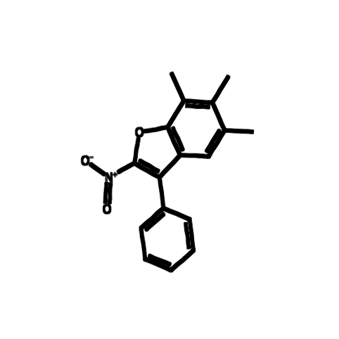 Cc1cc2c(-c3ccccc3)c([N+](=O)[O-])oc2c(C)c1C